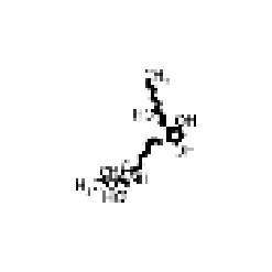 CCCCC[C@H](O)/C=C/[C@@H]1[C@@H](C/C=C\CCCC(=O)N[C@H](CO)C(=O)OC(C)C)[C@@H](O)C[C@H]1O